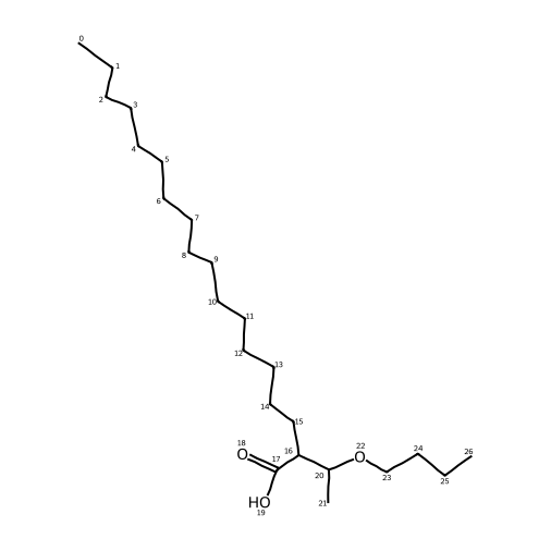 CCCCCCCCCCCCCCCCC(C(=O)O)C(C)OCCCC